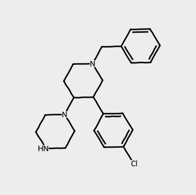 Clc1ccc(C2CN(Cc3ccccc3)CCC2N2CCNCC2)cc1